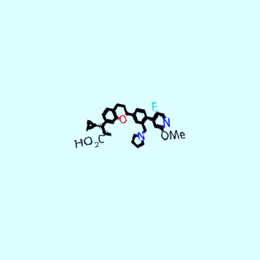 COc1cc(-c2ccc(C3CCc4ccc([C@H](C5CC5)[C@H](C)C(=O)O)cc4O3)cc2CN2CCCC2)c(F)cn1